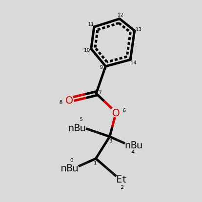 CCCCC(CC)C(CCCC)(CCCC)OC(=O)c1ccccc1